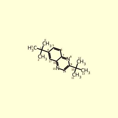 CC(C)(C)c1ccc2nc(C(C)(C)C)cnc2c1